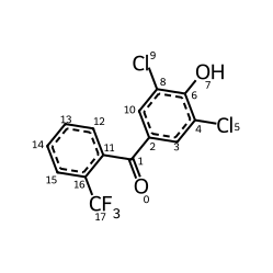 O=C(c1cc(Cl)c(O)c(Cl)c1)c1ccccc1C(F)(F)F